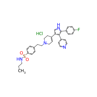 CCCNS(=O)(=O)c1ccc(CCN2CC=C(c3c[nH]c(-c4ccc(F)cc4)c3-c3ccncc3)CC2)cc1.Cl